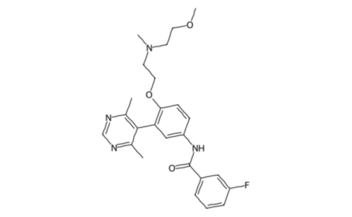 COCCN(C)CCOc1ccc(NC(=O)c2cccc(F)c2)cc1-c1c(C)ncnc1C